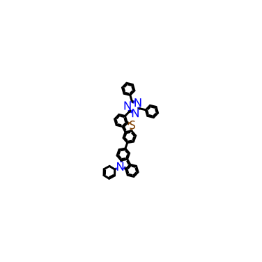 C1=CCC(n2c3ccccc3c3cc(-c4ccc5sc6c(-c7nc(-c8ccccc8)nc(-c8ccccc8)n7)cccc6c5c4)ccc32)C=C1